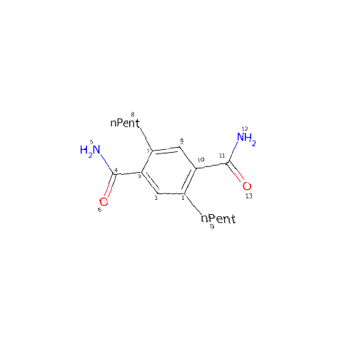 CCCCCc1cc(C(N)=O)c(CCCCC)cc1C(N)=O